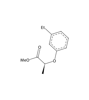 CCc1cccc(O[C@@H](C)C(=O)OC)c1